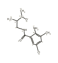 Cc1cc(Cl)cc(C(=O)NCC(C)[S+](C)[O-])c1N